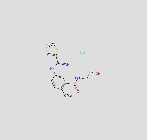 COc1ccc(NC(=N)c2cccs2)cc1C(=O)NCCO.Cl